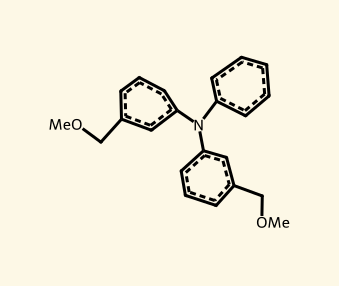 COCc1cccc(N(c2ccccc2)c2cccc(COC)c2)c1